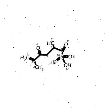 C=C(C)C(=O)CC(O)C(=O)S(=O)(=O)O